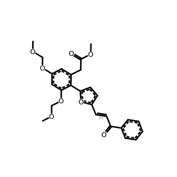 COCOc1cc(CC(=O)OC)c(-c2ccc(/C=C/C(=O)c3ccccc3)o2)c(OCOC)c1